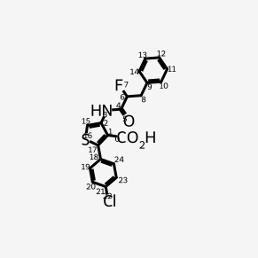 O=C(O)c1c(NC(=O)C(F)Cc2ccccc2)csc1-c1ccc(Cl)cc1